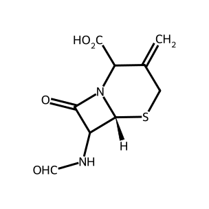 C=C1CS[C@@H]2C(NC=O)C(=O)N2C1C(=O)O